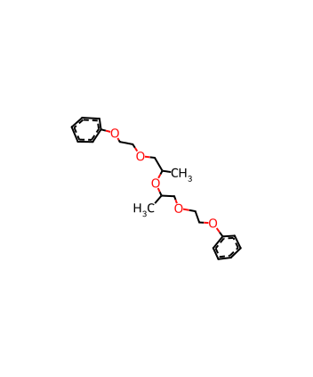 CC(COCCOc1ccccc1)OC(C)COCCOc1ccccc1